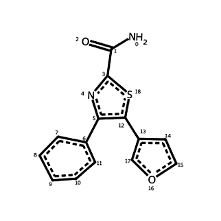 NC(=O)c1nc(-c2ccccc2)c(-c2ccoc2)s1